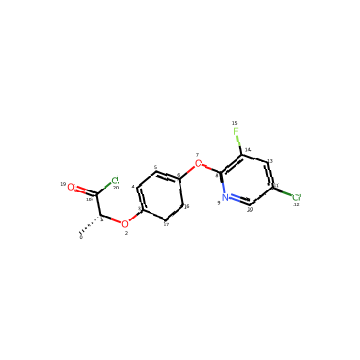 C[C@@H](OC1=CC=C(Oc2ncc(Cl)cc2F)CC1)C(=O)Cl